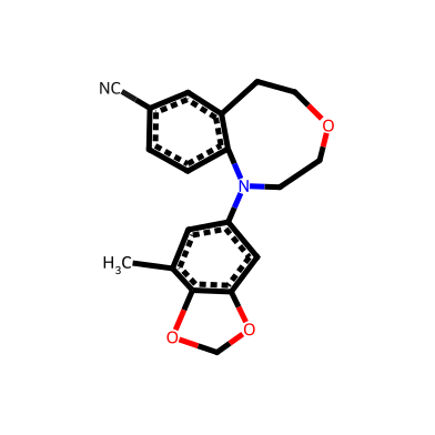 Cc1cc(N2CCOCCc3cc(C#N)ccc32)cc2c1OCO2